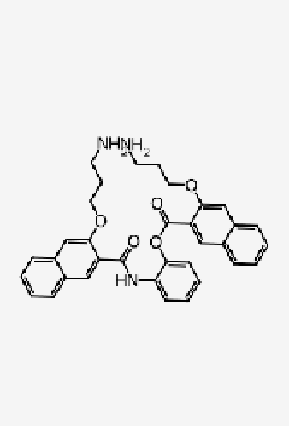 NCCCOc1cc2ccccc2cc1C(=O)Nc1ccccc1OC(=O)c1cc2ccccc2cc1OCCCN